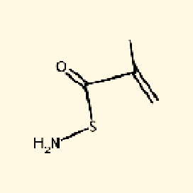 C=C(C)C(=O)SN